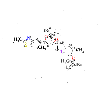 C/C(=C\c1csc(C)n1)[C@H](C[C@@H]1O[C@]1(CI)CCC[C@H](C)CO[Si](C)(C)C(C)(C)C)O[Si](C)(C)C(C)(C)C